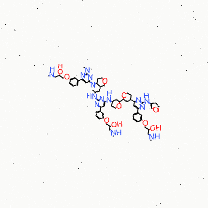 CNCC(O)COc1cccc(-c2cc(NC3CCOC(C4CC(c5cc(-c6cccc(OCC(O)CNC)c6)nc(NC6CCOC6)n5)CCO4)C3)nc(NC(C)CC3COCCC3N(C)c3cc(-c4cccc(OCC(O)CNC)c4)nc(N(C)C)n3)n2)c1